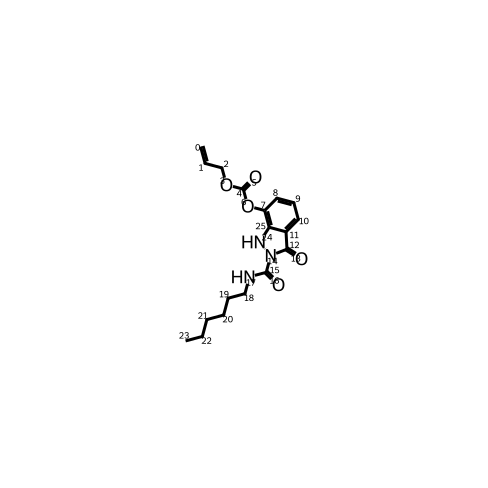 C=CCOC(=O)Oc1cccc2c(=O)n(C(=O)NCCCCCC)[nH]c12